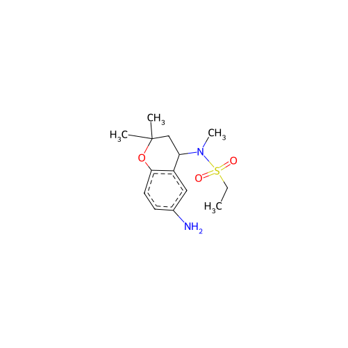 CCS(=O)(=O)N(C)C1CC(C)(C)Oc2ccc(N)cc21